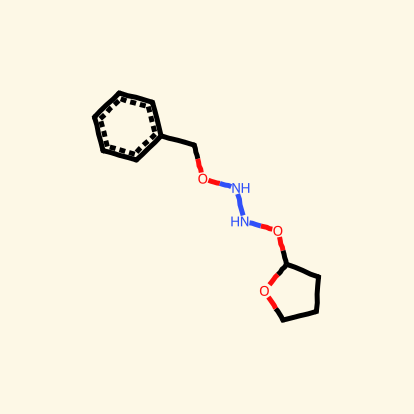 c1ccc(CONNOC2CCCO2)cc1